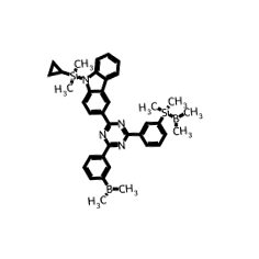 CB(C)c1cccc(-c2nc(-c3cccc([Si](C)(C)B(C)C)c3)nc(-c3ccc4c(c3)c3ccccc3n4[Si](C)(C)C3CC3)n2)c1